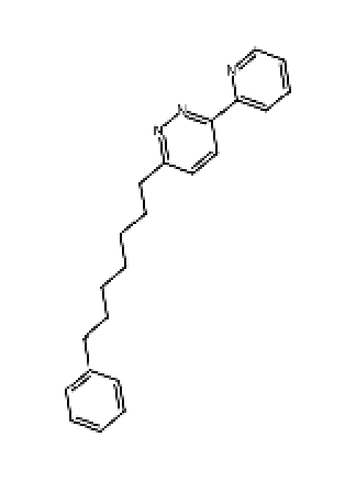 c1ccc(CCCCCCCc2ccc(-c3ccccn3)nn2)cc1